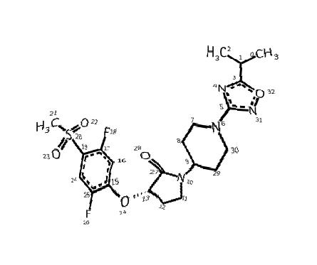 CC(C)c1nc(N2CCC(N3CC[C@H](Oc4cc(F)c(S(C)(=O)=O)cc4F)C3=O)CC2)no1